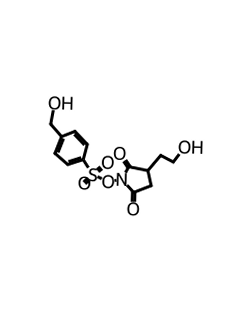 O=C1CC(CCO)C(=O)N1OS(=O)(=O)c1ccc(CO)cc1